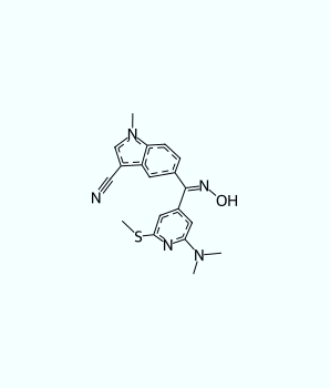 CSc1cc(C(=NO)c2ccc3c(c2)c(C#N)cn3C)cc(N(C)C)n1